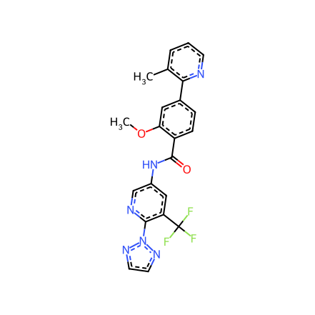 COc1cc(-c2ncccc2C)ccc1C(=O)Nc1cnc(-n2nccn2)c(C(F)(F)F)c1